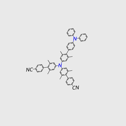 Cc1cc(N(c2cc(C)c(-c3ccc(C#N)cc3)c(C)c2)c2cc(C)c(-c3ccc(N(c4ccccc4)c4ccccc4)cc3)c(C)c2)cc(C)c1-c1ccc(C#N)cc1